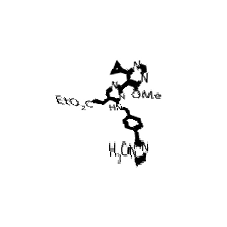 CCOC(=O)/C=C/c1cnc(-c2c(OC)ncnc2C2CC2)nc1NCc1ccc(-c2nccn2C)cc1